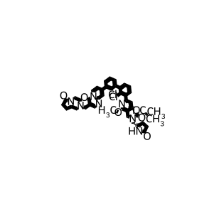 COc1nc(-c2cccc(-c3cccc(-c4ccn5c(=O)c(CN6CCN7C(=O)CCC7C6)cnc5c4)c3Cl)c2Cl)ccc1CN(C[C@@H]1CCC(=O)N1)C(=O)OC(C)(C)C